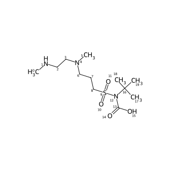 CNCCN(C)CCCS(=O)(=O)N(C(=O)O)C(C)(C)C